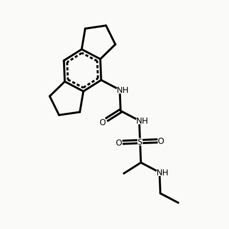 CCNC(C)S(=O)(=O)NC(=O)Nc1c2c(cc3c1CCC3)CCC2